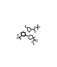 CC[C@H]1CN(C(=O)OC(C)(C)C)C[C@@H]1c1ccc(C(F)(F)F)cc1N1CCC(C)(C(=O)OC)CC1